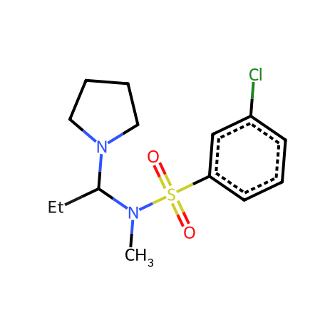 CCC(N1CCCC1)N(C)S(=O)(=O)c1cccc(Cl)c1